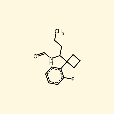 CCCC(NC=O)C1(c2ccccc2F)CCC1